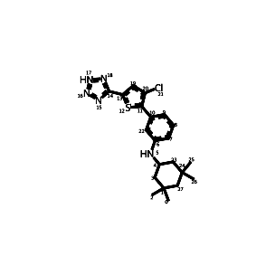 CC1(C)CC(Nc2cccc(-c3sc(-c4nn[nH]n4)[c]c3Cl)c2)CC(C)(C)C1